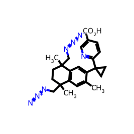 Cc1cc2c(cc1C1(c3ccc(C(=O)O)cn3)CC1)C(C)(CN=[N+]=[N-])CCC2(C)CN=[N+]=[N-]